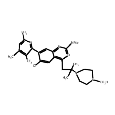 CNc1nc(CC(C)(C)N2CCN(C(=O)O)CC2)c2cc(Cl)c(-c3nc(N)cc(C)c3C(F)(F)F)cc2n1